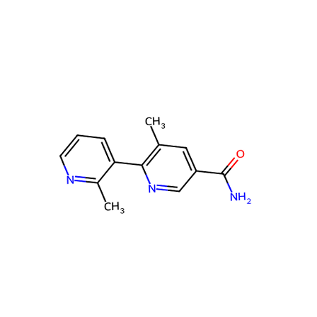 Cc1cc(C(N)=O)cnc1-c1cccnc1C